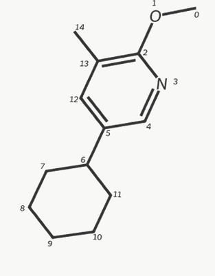 COc1ncc(C2CCCCC2)cc1C